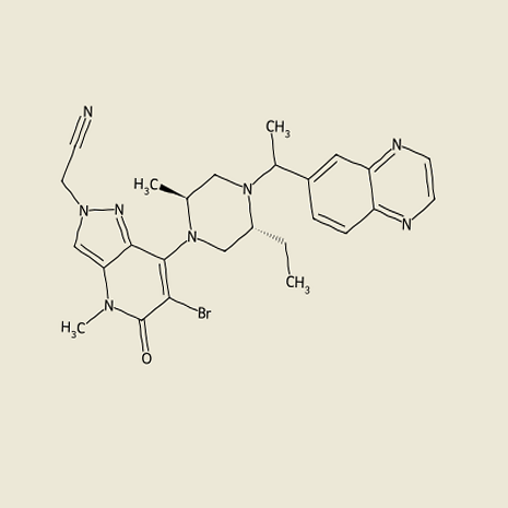 CC[C@@H]1CN(c2c(Br)c(=O)n(C)c3cn(CC#N)nc23)[C@@H](C)CN1C(C)c1ccc2nccnc2c1